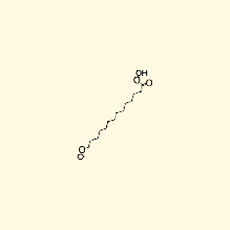 [O]OCCCCCCCCCCCCCC(=O)OO